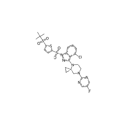 CC(C)(C)S(=O)(=O)c1ccc(S(=O)(=O)n2nc(N3CCN(c4ncc(F)cn4)CC34CC4)c3c(Cl)cccc32)s1